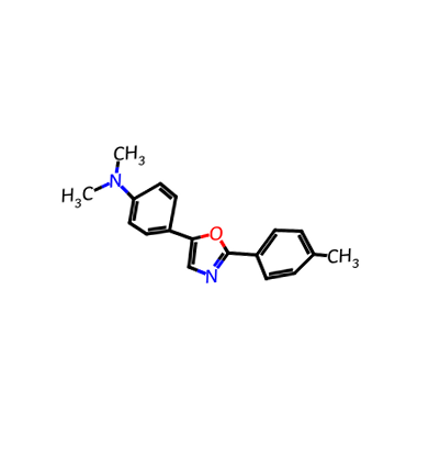 Cc1ccc(-c2ncc(-c3ccc(N(C)C)cc3)o2)cc1